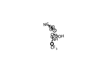 N#CC1CN(S(=O)(=O)N2CCC[C@H](C(=O)N3C[C@H](O)C[C@@H]3C(=O)NCc3ccc(C(F)(F)F)cc3)C2)C1